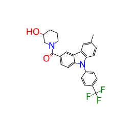 Cc1ccc2c(c1)c1cc(C(=O)N3CCCC(O)C3)ccc1n2-c1ccc(C(F)(F)F)cc1